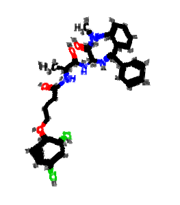 C[C@H](NC(=O)CCCOc1ccc(Cl)cc1Cl)C(=O)N[C@H]1N=C(c2ccccc2)c2ccccc2N(C)C1=O